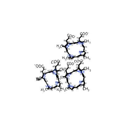 CC1=Cc2cc3[nH]c(cc4nc(cc5[nH]c(cc1n2)cc5C)C(C)=C4CCC(=O)[O-])c(CCC(=O)[O-])c3C.CC1=Cc2cc3[nH]c(cc4nc(cc5[nH]c(cc1n2)cc5C)C(C)=C4CCC(=O)[O-])c(CCC(=O)[O-])c3C.CC1=Cc2cc3[nH]c(cc4nc(cc5[nH]c(cc1n2)cc5C)C(C)=C4CCC(=O)[O-])c(CCC(=O)[O-])c3C.[Au+3].[Au+3]